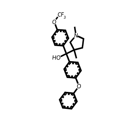 CN1CCC(C)(C(O)(c2ccc(Oc3ccccc3)cc2)c2ccc(OC(F)(F)F)cc2)C1